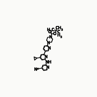 CC(C)(C)OC(=O)N1CCN(c2ccc(-c3cc(C4CC4)cc(Nc4cc(C#N)ccn4)n3)cn2)CC1